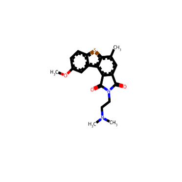 COc1ccc2sc3c(C)cc4c(c3c2c1)C(=O)N(CCN(C)C)C4=O